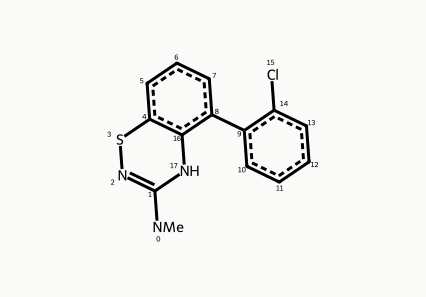 CNC1=NSc2cccc(-c3ccccc3Cl)c2N1